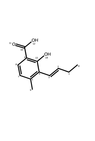 CCC=Cc1c(C)ccc(C(=O)O)c1O